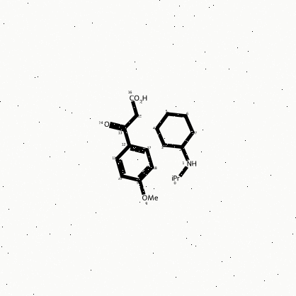 CC(C)NC1CCCCC1.COc1ccc(C(=O)CC(=O)O)cc1